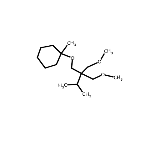 COCC(COC)(COC1(C)CCCCC1)C(C)C